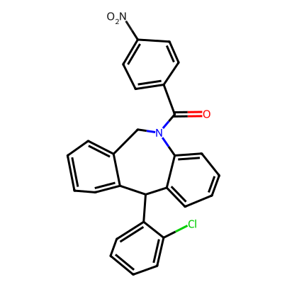 O=C(c1ccc([N+](=O)[O-])cc1)N1Cc2ccccc2C(c2ccccc2Cl)c2ccccc21